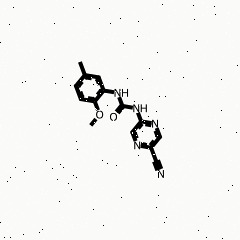 COc1ccc(C)cc1NC(=O)Nc1cnc(C#N)cn1